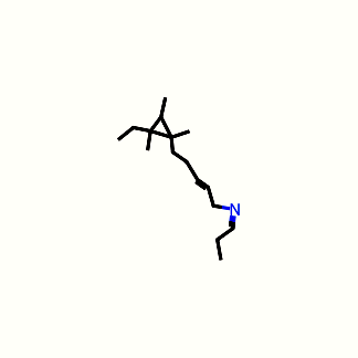 CC/C=N\C/C=C/CCC1(C)C(C)C1(C)CC